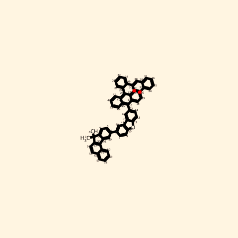 CC1(C)c2ccc(-c3ccc4oc5ccc(-c6c7ccccc7c(-c7ccccc7-c7ccc8ccccc8c7)c7ccccc67)cc5c4c3)cc2-c2c1ccc1ccccc21